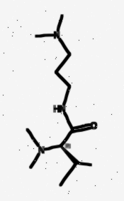 CC(C)[C@H](C(=O)NCCCN(C)C)N(C)C